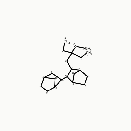 CCC(CC)(CC1C2CCC(C2)C1C1CC2CCC1C2)O[SiH3]